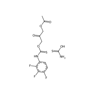 CC(=O)OCC(=O)COC(=S)Nc1ccc(F)c(F)c1F.NC(O)=S